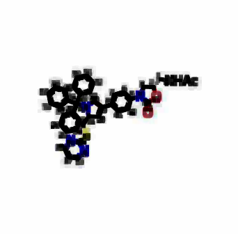 CC(=O)NC[C@H]1CN(c2ccc(C3=C[C@@H](CSc4ncccn4)N(C(c4ccccc4)(c4ccccc4)c4ccccc4)C3)cc2)C(=O)O1